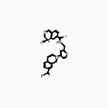 C[C@@]1(C#N)COCc2ccc(C(=O)NCc3cc(N4CCc5ccc(C(F)F)cc5C4)ccn3)cc21